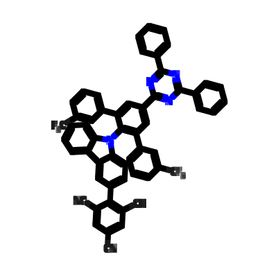 N#Cc1cc(C#N)c(-c2ccc3c(c2)c2ccccc2n3-c2c(-c3cccc(C(F)(F)F)c3)cc(-c3nc(-c4ccccc4)nc(-c4ccccc4)n3)cc2-c2cccc(C(F)(F)F)c2)c(C#N)c1